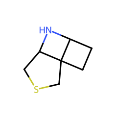 C1CC23CSCC2NC13